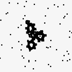 COC1(OC(c2ccccc2)c2ccccc2)C=CC(=O)C=C1